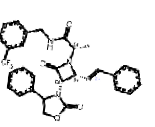 C[C@@H](C(=O)NCc1cccc(C(F)(F)F)c1)N1C(=O)[C@@H](N2C(=O)OCC2c2ccccc2)[C@H]1/C=C/c1ccccc1